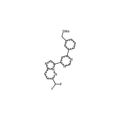 CSCc1cccc(-c2cc(-c3cnc4ccc(C(F)F)nn34)ncn2)c1